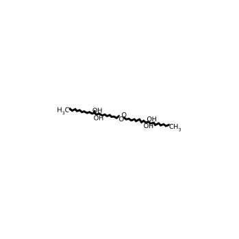 CCCCCCCCCCCC(O)C(O)CCCCCCCCCOC(=O)CCCCCCCCC(O)C(O)CCCCCCCCC